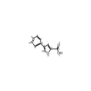 O=C(O)c1cc(-c2ccnnc2)no1